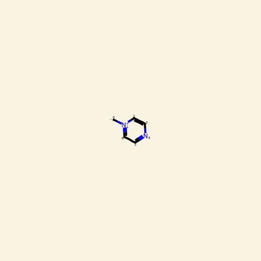 [CH2][n+]1ccncc1